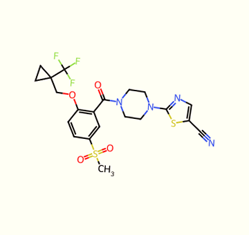 CS(=O)(=O)c1ccc(OCC2(C(F)(F)F)CC2)c(C(=O)N2CCN(c3ncc(C#N)s3)CC2)c1